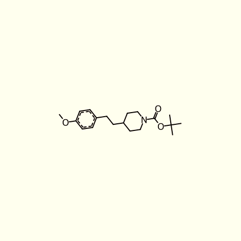 COc1ccc(CCC2CCN(C(=O)OC(C)(C)C)CC2)cc1